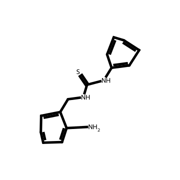 Nc1ccccc1CNC(=S)Nc1ccccc1